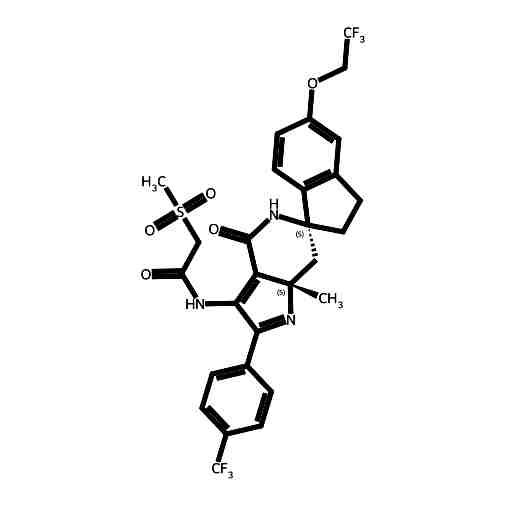 C[C@]12C[C@]3(CCc4cc(OCC(F)(F)F)ccc43)NC(=O)C1=C(NC(=O)CS(C)(=O)=O)C(c1ccc(C(F)(F)F)cc1)=N2